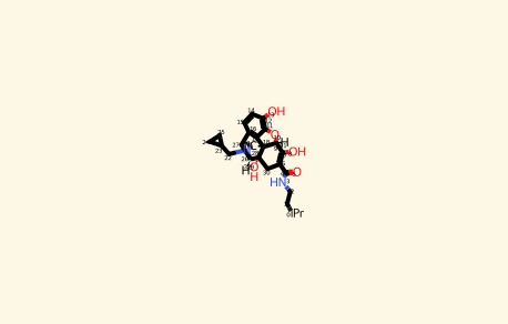 CC(C)CCNC(=O)C1=C(O)[C@@H]2Oc3c(O)ccc4c3[C@@]23CCN(CC2CC2)[C@H](C4)[C@]3(O)C1